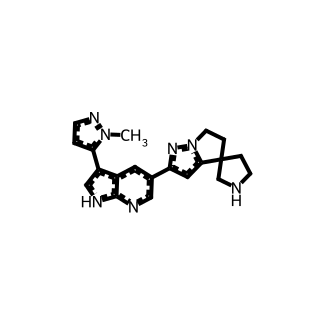 Cn1nccc1-c1c[nH]c2ncc(-c3cc4n(n3)CCC43CCNC3)cc12